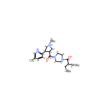 CC(=O)NC(CC(C)(C)C)C(=O)N1CCN(C(=O)C2CN(C(C)(C)C)CC2c2ccc(Cl)cn2)CC1